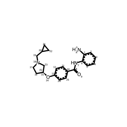 Nc1ccccc1NC(=O)c1ccc(O[C@H]2CCN(CC3CC3)C2)cc1